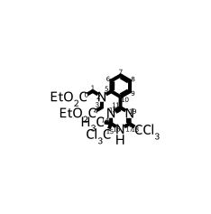 CCOC(=O)CN(CC(=O)OCC)c1ccccc1C1=NC(C)(C(Cl)(Cl)Cl)NC(C(Cl)(Cl)Cl)=N1